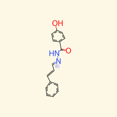 O=C(N/N=C/C=Cc1ccccc1)c1ccc(O)cc1